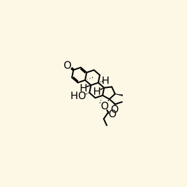 CCC(=O)O[C@@]1(C(C)=O)[C@H](C)C[C@H]2[C@@H]3CCC4=CC(=O)C=C[C@]4(C)[C@H]3[C@@H](O)C[C@@]21C